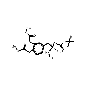 CCC(C)(C)OC(=O)O[C@](Cc1ccc(OC(=O)OC(C)(C)C)c(OC(=O)OC(C)(C)C)c1)(NC(C)C)C(=O)O